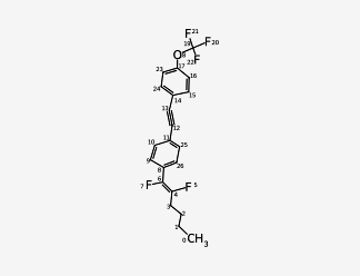 CCCC/C(F)=C(\F)c1ccc(C#Cc2ccc(OC(F)(F)F)cc2)cc1